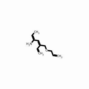 C=CCOC/C(C=C)=C/C(N)=C\C